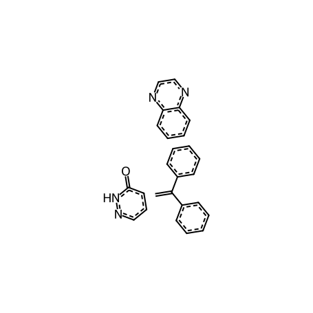 C=C(c1ccccc1)c1ccccc1.O=c1cccn[nH]1.c1ccc2nccnc2c1